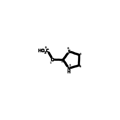 O=C(O)OC1NCCS1